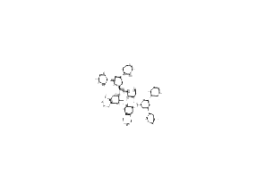 c1ccc(-c2cc(-c3ccccc3)cc(N3c4cc5c(cc4B4c6cc7c(cc6N(c6cc(-c8ccccc8)cc(-c8ccccc8)c6)c6cccc3c64)CCCC7)CCCC5)c2)cc1